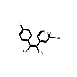 C=C(/C=C(\C=C/C)C(/C)=C(/C)C1=CC=C(C)CC1)NC